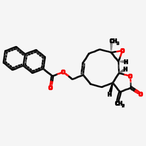 C=C1C(=O)O[C@H]2[C@H]1CC/C(COC(=O)c1ccc3ccccc3c1)=C\CC[C@@]1(C)O[C@@H]21